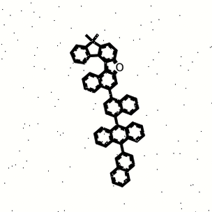 CC1(C)c2ccccc2-c2c1ccc1oc3cc(-c4ccc(-c5c6ccccc6c(-c6ccc7ccccc7c6)c6ccccc56)c5ccccc45)c4ccccc4c3c21